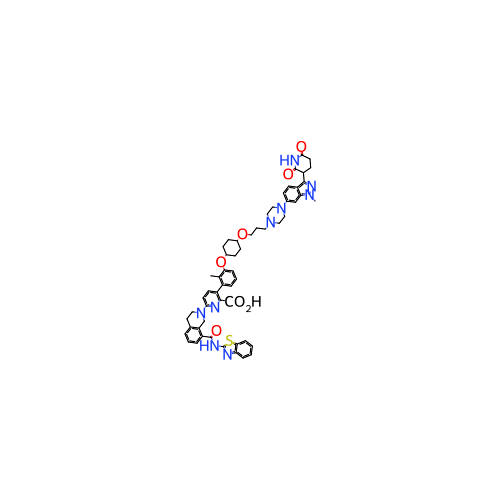 Cc1c(OC2CCC(OCCCN3CCN(c4ccc5c(C6CCC(=O)NC6=O)nn(C)c5c4)CC3)CC2)cccc1-c1ccc(N2CCc3cccc(C(=O)Nc4nc5ccccc5s4)c3C2)nc1C(=O)O